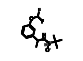 CC(N[S@+]([O-])C(C)(C)C)c1cccc(OC(F)F)c1